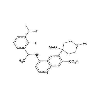 COC1(c2cc3c(NC(C)c4cccc(C(F)F)c4F)ccnc3cc2C(=O)O)CCN(C(C)=O)CC1